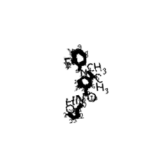 Cc1c(C)n(Cc2ccccc2F)c2ccc(C(=O)NCc3ccco3)cc12